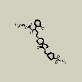 CCOC(=O)NC(CCN1CCC2(CC1)CCN(Cc1ccc(S(C)(=O)=O)cc1)C2=O)c1ccccc1Cl